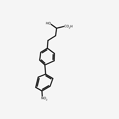 O=C(O)C(O)CCc1ccc(-c2ccc([N+](=O)[O-])cc2)cc1